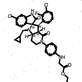 CCOC(=O)CNc1ccc(N2CC[C@H]3[C@@H](C2=O)[C@H](c2cccc(Cl)c2F)[C@]2(C(=O)Nc4cc(Cl)ccc42)N3CC2CC2)cc1